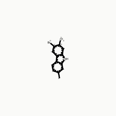 Cc1ccc2c(c1)[nH]c1cc(C(F)(F)F)c(Br)cc12